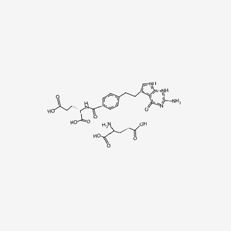 NC(CCC(=O)O)C(=O)O.Nc1nc(=O)c2c(CCc3ccc(C(=O)N[C@@H](CCC(=O)O)C(=O)O)cc3)c[nH]c2[nH]1